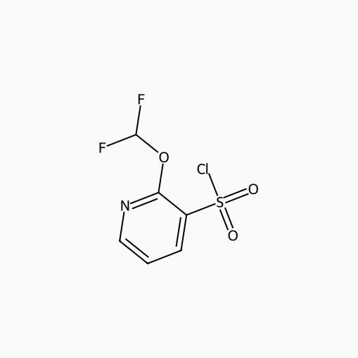 O=S(=O)(Cl)c1cccnc1OC(F)F